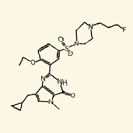 CCOc1ccc(S(=O)(=O)N2CCN(CCCF)CC2)cc1-c1nc2c(CC3CC3)cn(C)c2c(=O)[nH]1